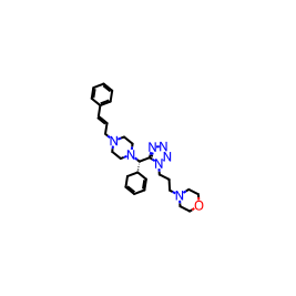 C1=CCC([C@@H](c2nnnn2CCCN2CCOCC2)N2CCN(C/C=C/c3ccccc3)CC2)C=C1